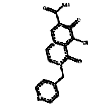 O=C(O)c1cn2ccn(Cc3ccncc3)c(=O)c2c(O)c1=O